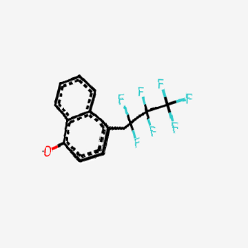 [O]c1ccc(C(F)(F)C(F)(F)C(F)(F)F)c2ccccc12